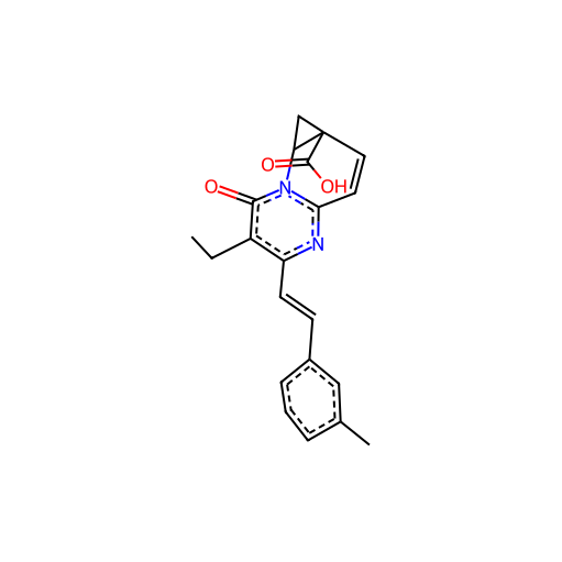 CCc1c(/C=C/c2cccc(C)c2)nc2n(c1=O)C1CC1(C(=O)O)C=C2